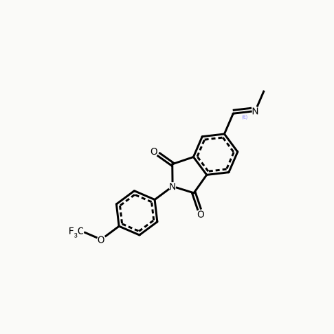 C/N=C/c1ccc2c(c1)C(=O)N(c1ccc(OC(F)(F)F)cc1)C2=O